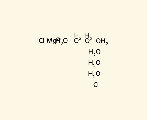 O.O.O.O.O.O.O.[Cl-].[Cl-].[Mg+2]